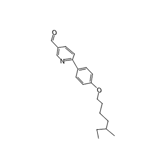 CCC(C)CCCCOc1ccc(-c2ccc(C=O)cn2)cc1